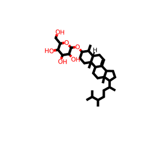 CC(C)C(C)CCC(C)C1CCC2C3=CC[C@H]4C(C)C(OC5OC(CO)C(O)C(O)C5O)CCC4(C)C3CCC21C